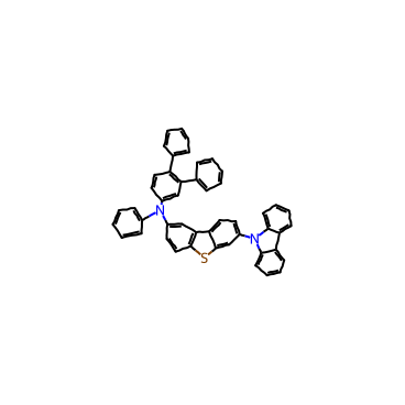 c1ccc(-c2ccc(N(c3ccccc3)c3ccc4sc5cc(-n6c7ccccc7c7ccccc76)ccc5c4c3)cc2-c2ccccc2)cc1